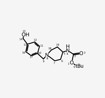 CC(C)(C)OC(=O)NC1CCN(Cc2ccc(CO)cc2)CC1